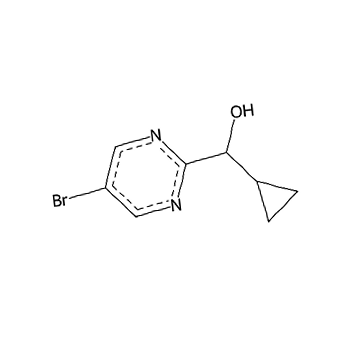 OC(c1ncc(Br)cn1)C1CC1